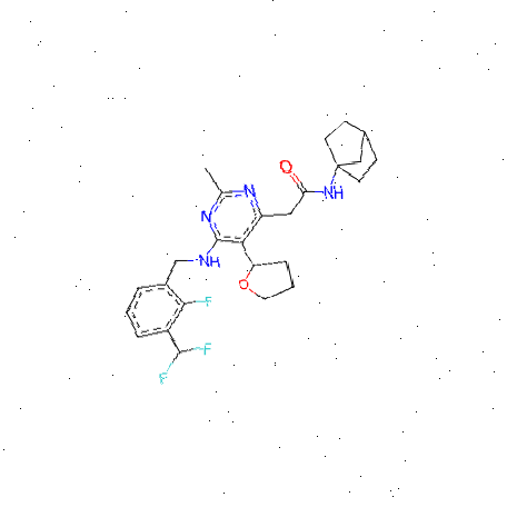 Cc1nc(CC(=O)NC23CCC(CC2)C3)c(C2CCCO2)c(NCc2cccc(C(F)F)c2F)n1